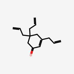 C=CCC1=CC(=O)CC(CC=C)(CC=C)C1